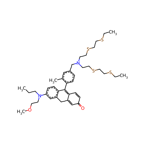 CCCN(CCOC)c1ccc2c(c1)CC1=CC(=O)C=CC1=C2c1ccc(CN(CCSCCSCC)CCSCCSCC)cc1C